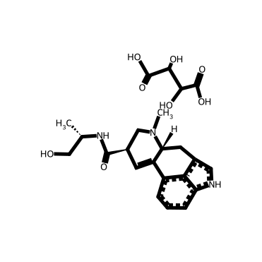 C[C@@H](CO)NC(=O)[C@@H]1C=C2c3cccc4[nH]cc(c34)C[C@H]2N(C)C1.O=C(O)C(O)C(O)C(=O)O